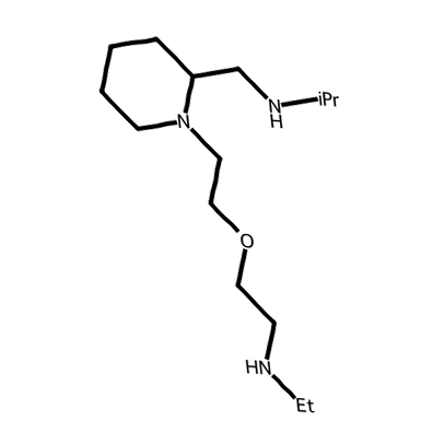 CCNCCOCCN1CCCCC1CNC(C)C